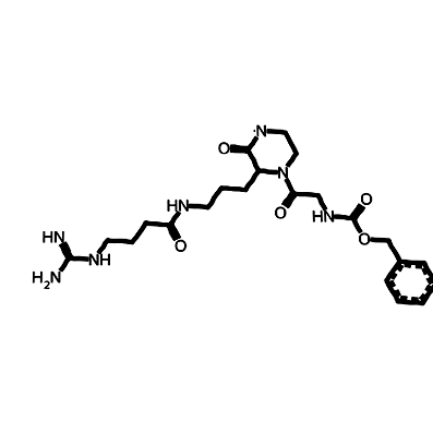 N=C(N)NCCCC(=O)NCCCC1C(=O)[N]CCN1C(=O)CNC(=O)OCc1ccccc1